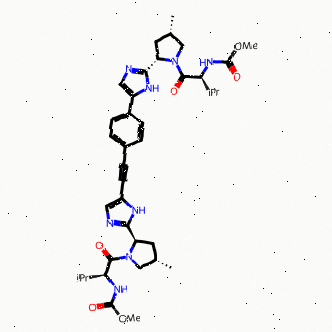 COC(=O)N[C@H](C(=O)N1C[C@@H](C)C[C@@H]1c1ncc(C#Cc2ccc(-c3cnc([C@@H]4C[C@H](C)CN4C(=O)[C@@H](NC(=O)OC)C(C)C)[nH]3)cc2)[nH]1)C(C)C